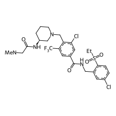 CCS(=O)(=O)c1ccc(Cl)cc1CNC(=O)c1cc(Cl)c(CN2CCC[C@H](NC(=O)CNC)C2)c(C(F)(F)F)c1